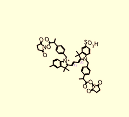 Cc1ccc2c(c1)C(C)(C)C(/C=C/C=C1/N(Cc3ccc(C(C)C(=O)ON4C(=O)CCC4=O)cc3)c3ccc(S(=O)(=O)O)cc3C1(C)C)=[N+]2Cc1ccc(C(C)C(=O)ON2C(=O)CCC2=O)cc1